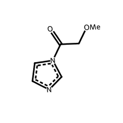 COCC(=O)n1ccnc1